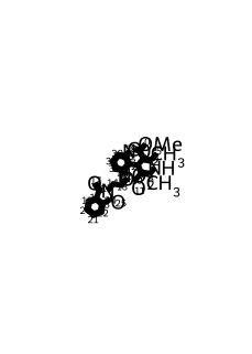 COC(=O)C1=C(C)NC(C)=C(C(=O)OCCN2C(=O)c3ccccc3C2=O)C1c1c([N+](=O)[O-])cccc1[N+](=O)[O-]